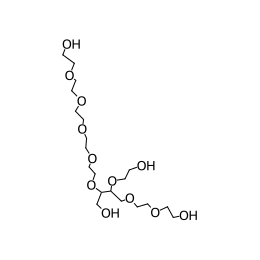 OCCOCCOCCOCCOCCOC(CO)C(COCCOCCO)OCCO